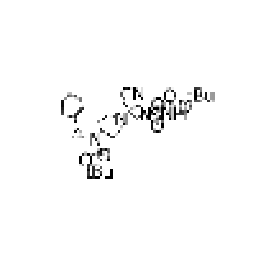 CC(C)(C)OC(=O)NS(=O)(=O)N1CC(CC#N)(N2CCC(N(C(=O)OC(C)(C)C)C3C[C@H]3c3ccccc3)CC2)C1